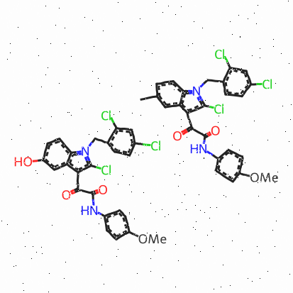 COc1ccc(NC(=O)C(=O)c2c(Cl)n(Cc3ccc(Cl)cc3Cl)c3ccc(C)cc23)cc1.COc1ccc(NC(=O)C(=O)c2c(Cl)n(Cc3ccc(Cl)cc3Cl)c3ccc(O)cc23)cc1